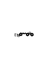 CCOc1ccc(C=CCc2cccc(Oc3ccccc3)c2)cc1